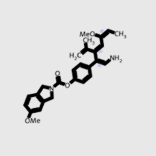 C=C(C)C(=C\C(=C/C)OC)/C(=C\N)c1ccc(OC(=O)N2Cc3ccc(OC)cc3C2)cc1